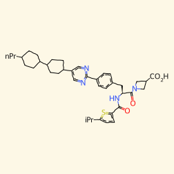 CCCC1CCC(C2CCC(c3cnc(-c4ccc(C[C@H](NC(=O)c5ccc(C(C)C)s5)C(=O)N5CC(C(=O)O)C5)cc4)nc3)CC2)CC1